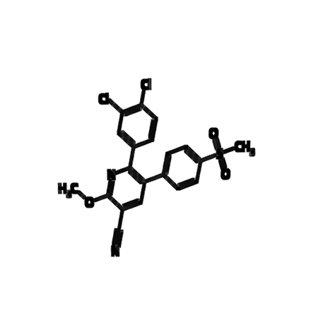 COc1nc(-c2ccc(Cl)c(Cl)c2)c(-c2ccc(S(C)(=O)=O)cc2)cc1C#N